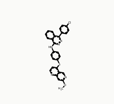 COc1cc2nccc(Sc3ccc(Nc4nnc(-c5ccc(Cl)cc5)c5ccccc45)cc3)c2cn1